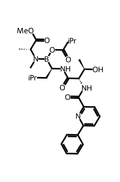 COC(=O)[C@@H](C)N(C)B(OC(=O)C(C)C)[C@H](CC(C)C)NC(=O)[C@@H](NC(=O)c1cccc(-c2ccccc2)n1)[C@@H](C)O